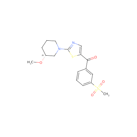 CO[C@@H]1CCCN(c2ncc(C(=O)c3cccc(S(C)(=O)=O)c3)s2)C1